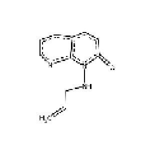 C=CCNn1c(=O)ccc2cccnc21